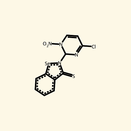 O=[N+]([O-])N1C=CC(Cl)=NC1n1[se]c2ccccc2c1=S